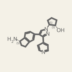 N[C@H]1CCc2cc(-c3cn([C@H]4CCC[C@@H]4O)nc3-c3ccncc3)ccc21